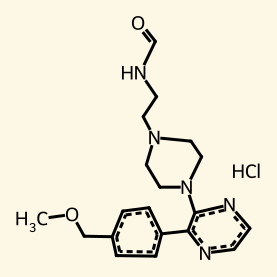 COCc1ccc(-c2nccnc2N2CCN(CCNC=O)CC2)cc1.Cl